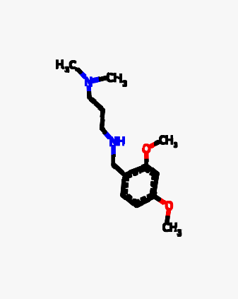 COc1ccc(CNCCCN(C)C)c(OC)c1